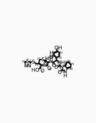 O=C(O)C1=C(CSc2nncs2)CS[C@@H]2C(NC(=O)C(NC(=O)n3c(=O)[nH]c4ccccc43)c3ccc(O)cc3O)C(=O)N12